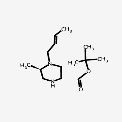 CC(C)(C)OC=O.CC=CCN1CCNC[C@H]1C